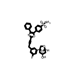 NS(=O)(=O)c1ccc(-c2oc(C#CCc3cc(F)cc([C@]45CO[C@@H](C[C@@H](O)C4)O5)c3)nc2-c2ccccc2)cc1